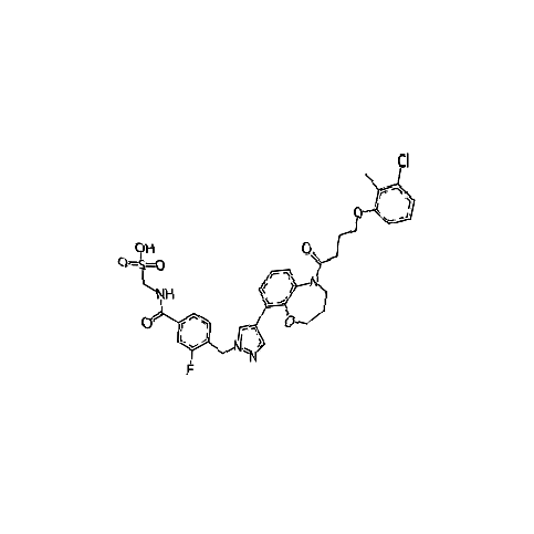 Cc1c(Cl)cccc1OCCCC(=O)N1CCCOc2c(-c3cnn(Cc4ccc(C(=O)NCS(=O)(=O)O)cc4F)c3)cccc21